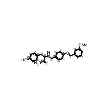 COc1cccc(COc2ccc(CNC(Cc3ccc(O)cc3)C(N)=O)cc2)c1